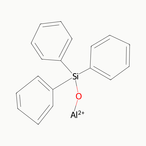 [Al+2][O][Si](c1ccccc1)(c1ccccc1)c1ccccc1